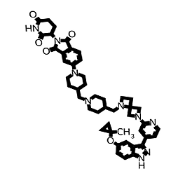 CC1(Oc2ccc3[nH]nc(-c4ccnc(N5CC6(CCN6CC6CCN(CC7CCN(c8ccc9c(c8)C(=O)N(C8CCC(=O)NC8=O)C9=O)CC7)CC6)C5)c4)c3c2)CC1